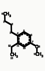 CCCCc1ccc(OC)cc1CC